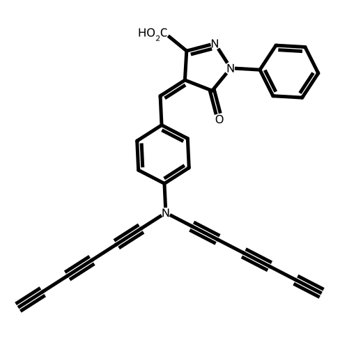 C#CC#CC#CN(C#CC#CC#C)c1ccc(/C=C2\C(=O)N(c3ccccc3)N=C2C(=O)O)cc1